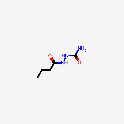 CCCC(=O)NNC(N)=O